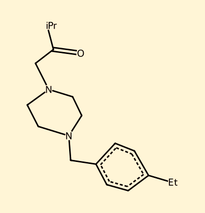 CCc1ccc(CN2CCN(CC(=O)C(C)C)CC2)cc1